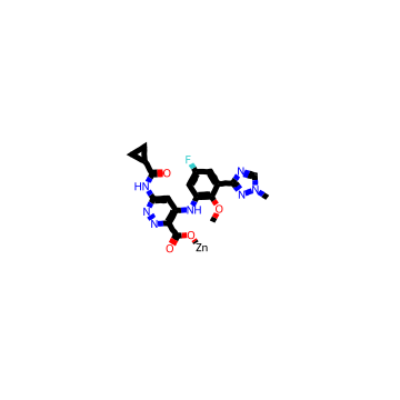 COc1c(Nc2cc(NC(=O)C3CC3)nnc2C(=O)[O][Zn])cc(F)cc1-c1ncn(C)n1